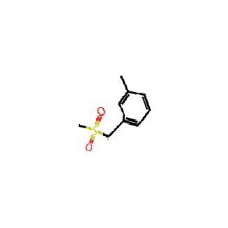 Cc1cccc([CH]S(C)(=O)=O)c1